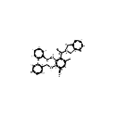 Cc1cc(=O)n(OCc2ccccc2)c(OCc2ccccc2)c1C(C)N1Cc2ccccc2C1